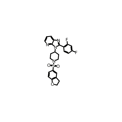 O=S(=O)(c1ccc2c(c1)CCO2)N1CCC(n2c(-c3ccc(F)cc3F)nc3cccnc32)CC1